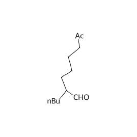 CCCCC(C=O)CCCCC(C)=O